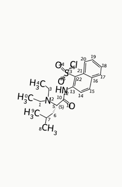 CCN(CC)[C@@H](CC(C)C)C(=O)Nc1ccc2ccccc2c1S(=O)(=O)Cl